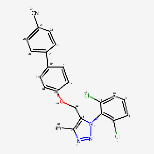 CC(C)c1nnn(-c2c(Cl)cccc2Cl)c1COc1ccc(-c2ccc(C#N)cc2)cc1